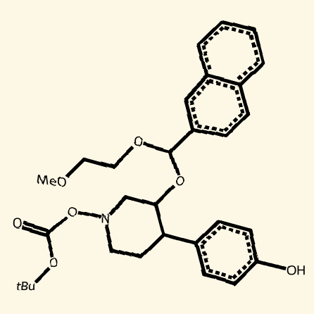 COCCOC(OC1CN(OC(=O)OC(C)(C)C)CCC1c1ccc(O)cc1)c1ccc2ccccc2c1